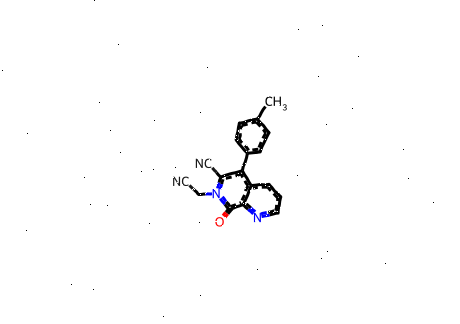 Cc1ccc(-c2c(C#N)n(CC#N)c(=O)c3ncccc23)cc1